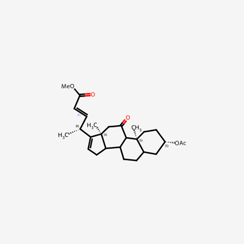 COC(=O)/C=C/[C@@H](C)C1=CCC2C3CCC4C[C@@H](OC(C)=O)CC[C@]4(C)C3C(=O)C[C@]12C